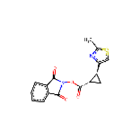 Cc1nc([C@H]2C[C@@H]2C(=O)ON2C(=O)c3ccccc3C2=O)cs1